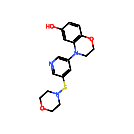 Oc1ccc2c(c1)N(c1cncc(SN3CCOCC3)c1)CCO2